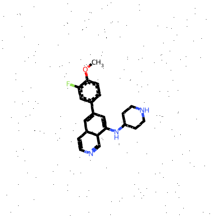 COc1ccc(C2=CC3C=CN=CC3C(NC3CCNCC3)=C2)cc1F